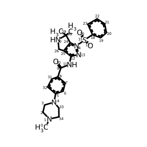 CN1CCN(c2ccc(C(=O)Nc3nn(S(=O)(=O)c4ccccc4)c4c3CNC4(C)C)cc2)CC1